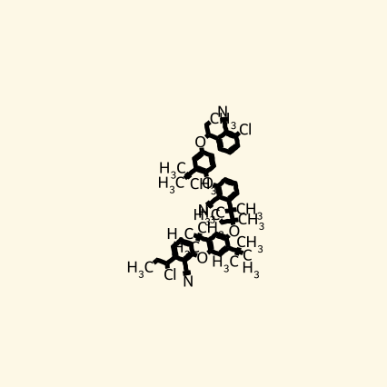 CCC(Cl)c1cccc(Oc2cc(C(C)(C)C)c(OC(C)(CC)C(C)(C)c3cccc(Oc4ccc(OC(CC)c5cccc(Cl)c5C#N)cc4C(C)(C)C)c3C#N)cc2C(C)(C)C)c1C#N